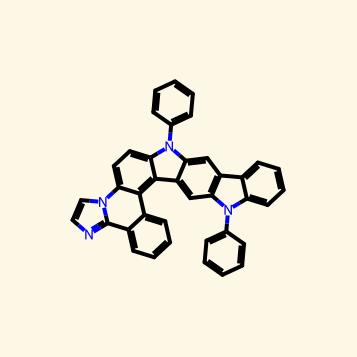 c1ccc(-n2c3ccccc3c3cc4c(cc32)c2c3c5ccccc5c5nccn5c3ccc2n4-c2ccccc2)cc1